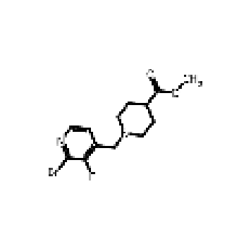 COC(=O)C1CCN(Cc2ccnc(Br)c2F)CC1